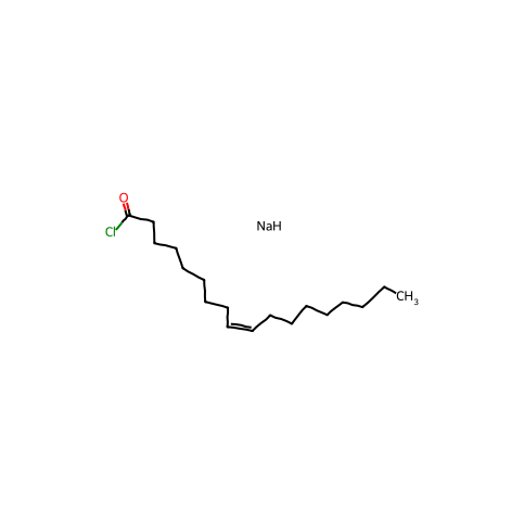 CCCCCCCC/C=C\CCCCCCCC(=O)Cl.[NaH]